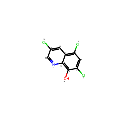 Oc1c(Cl)cc(Cl)c2cc(Cl)cnc12